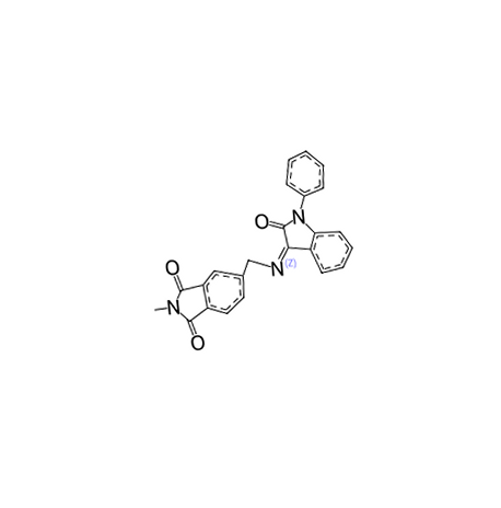 CN1C(=O)c2ccc(C/N=C3\C(=O)N(c4ccccc4)c4ccccc43)cc2C1=O